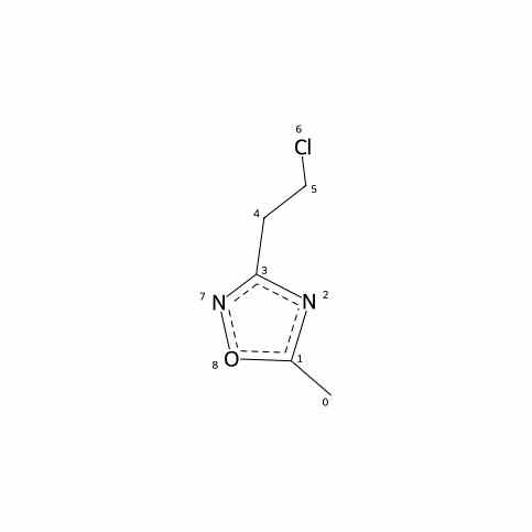 Cc1nc(CCCl)no1